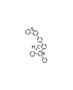 Cc1c(-c2ccc(-c3ccc4sc5ccccc5c4c3)cc2)cccc1-c1cc(-c2ccccc2)cc(-c2ccccc2)n1